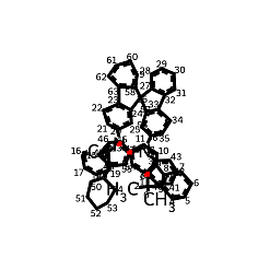 CC1(C)c2ccccc2-c2ccc(N(c3ccccc3)c3ccc4c(c3)C3(c5ccccc5-c5ccc(N(c6ccccc6)c6cccc(C7CCCCC7)c6)cc53)c3ccccc3-4)cc21